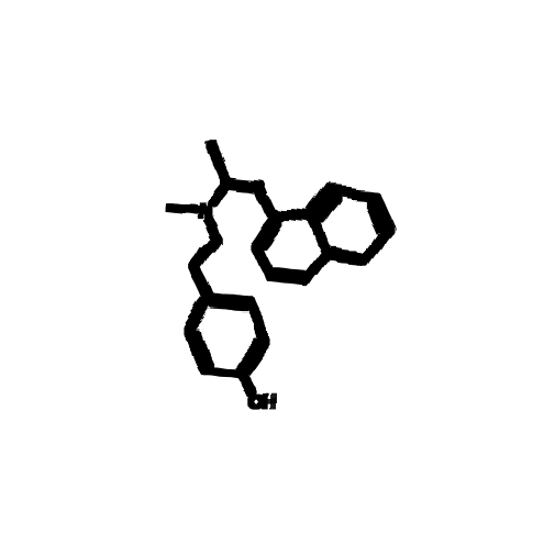 CC(Cc1cccc2ccccc12)N(C)CCc1ccc(O)cc1